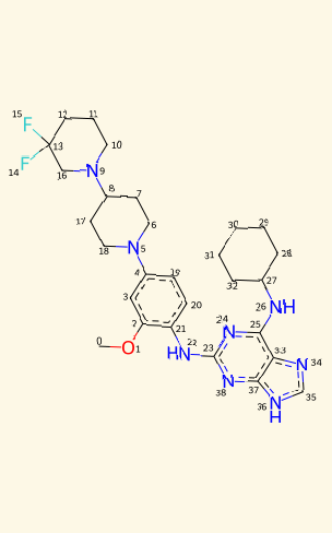 COc1cc(N2CCC(N3CCCC(F)(F)C3)CC2)ccc1Nc1nc(NC2CCCCC2)c2nc[nH]c2n1